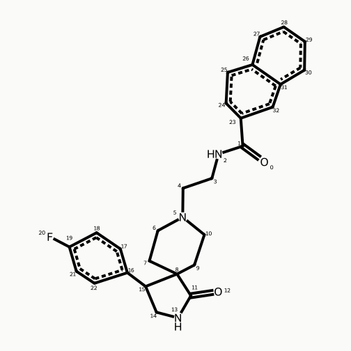 O=C(NCCN1CCC2(CC1)C(=O)NCC2c1ccc(F)cc1)c1ccc2ccccc2c1